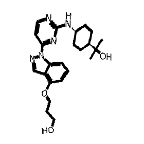 CC(C)(O)[C@H]1CC[C@H](Nc2nccc(-n3ncc4c(OCCCO)cccc43)n2)CC1